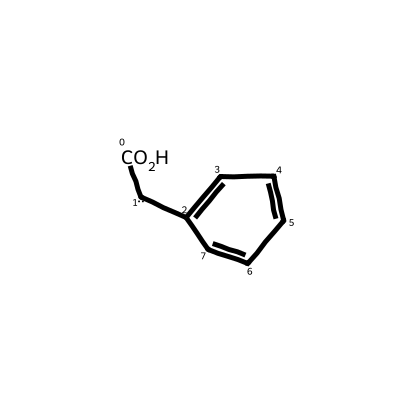 O=C(O)[C]c1ccccc1